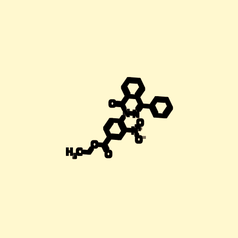 CCOC(=O)c1ccc(-n2nc(-c3ccccc3)c3ccccc3c2=O)c([N+](=O)[O-])c1